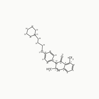 Cc1nc2cccc(C(F)(F)F)c2c(=O)n1-c1ccc(OCCCN2CCCCC2)cc1